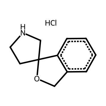 Cl.c1ccc2c(c1)COC21CCNC1